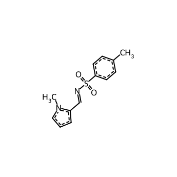 Cc1ccc(S(=O)(=O)/N=C/c2cccn2C)cc1